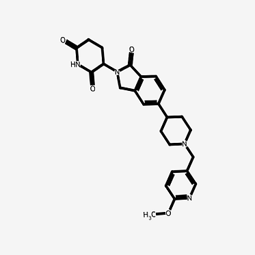 COc1ccc(CN2CCC(c3ccc4c(c3)CN(C3CCC(=O)NC3=O)C4=O)CC2)cn1